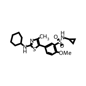 COc1ccc(-c2sc(NC3CCCCC3)nc2C)cc1S(=O)(=O)NC1CC1